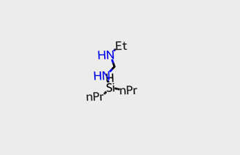 CCC[SiH](CCC)NCNCC